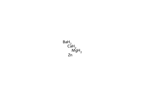 [BaH2].[CaH2].[MgH2].[Zn]